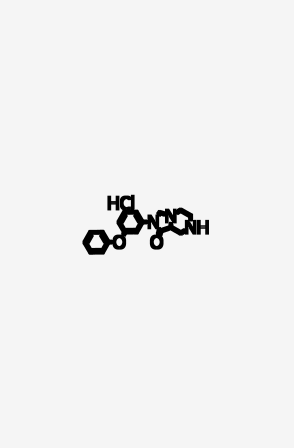 Cl.O=C1C2CNCCN2CN1c1cccc(Oc2ccccc2)c1